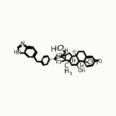 C[C@]12C=CC(=O)C=C1CC[C@@H]1[C@@H]2[C@@H](O)C[C@@]2(C)[C@H]1C[C@H]1O[C@@H](c3ccc(Cc4ccc5nc[nH]c5c4)cc3)O[C@]12C(=O)CO